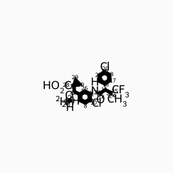 [2H]C([2H])([2H])OC(c1ccc(Cl)c(NC(=O)[C@H](c2ccc(Cl)cc2)[C@@H](C)C(F)(F)F)c1)C1(C(=O)O)CC1